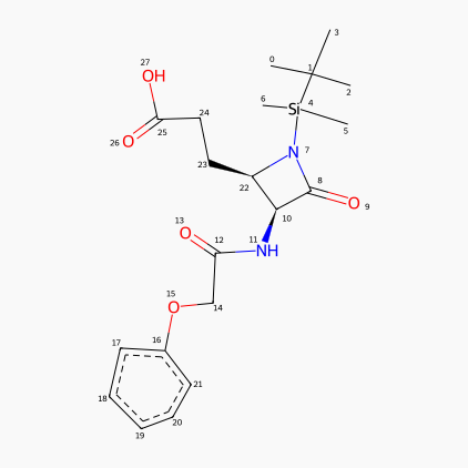 CC(C)(C)[Si](C)(C)N1C(=O)[C@@H](NC(=O)COc2ccccc2)[C@H]1CCC(=O)O